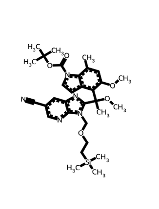 COc1cc(C)c2c(ccn2C(=O)OC(C)(C)C)c1C(C)(OC)c1nc2cc(C#N)cnc2n1COCC[Si](C)(C)C